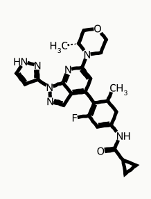 CC1CC(NC(=O)C2CC2)=CC(F)=C1c1cc(N2CCOC[C@H]2C)nc2c1cnn2-c1cc[nH]n1